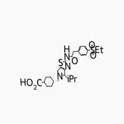 CCS(=O)(=O)c1ccc(CC(=O)Nc2nc3c(s2)CN(C[C@H]2CC[C@H](C(=O)O)CC2)C3C(C)C)cc1